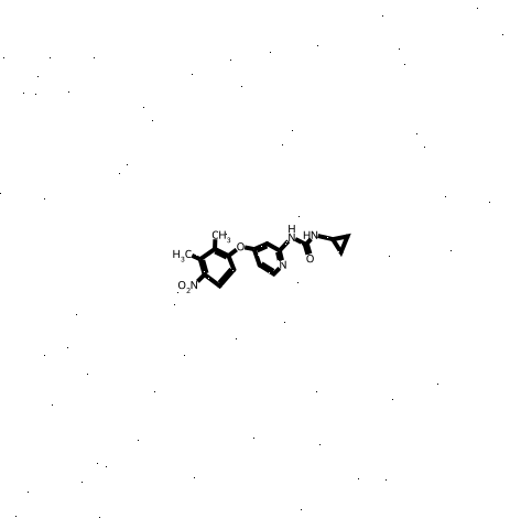 Cc1c(Oc2ccnc(NC(=O)NC3CC3)c2)ccc([N+](=O)[O-])c1C